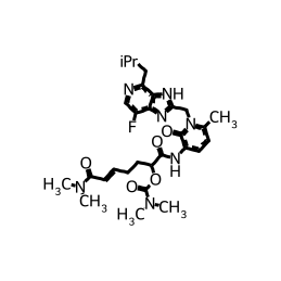 Cc1ccc(NC(=O)C(CCC=CC(=O)N(C)C)OC(=O)N(C)C)c(=O)n1Cc1nc2c(F)cnc(CC(C)C)c2[nH]1